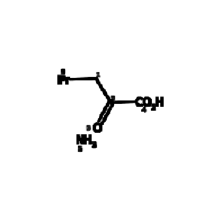 CC(C)CC(=O)C(=O)O.N